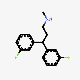 CNCCC(c1cccc(F)c1)c1cccc(F)c1